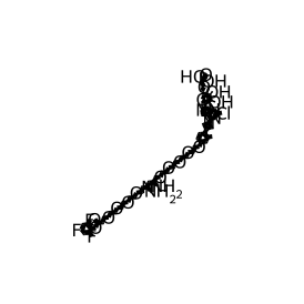 Cc1cc(OCCOCCOCCOCCOC/C(N)=C/N(N)CCOCCOCCOCCOCCC(=O)Oc2c(F)cc(F)cc2F)ccc1C1CN(c2nc(Cl)nc3c2cnn3[C@@H]2O[C@H](COCP(=O)(O)O)[C@@H](O)[C@H]2O)C1